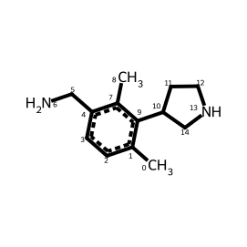 Cc1ccc(CN)c(C)c1C1CCNC1